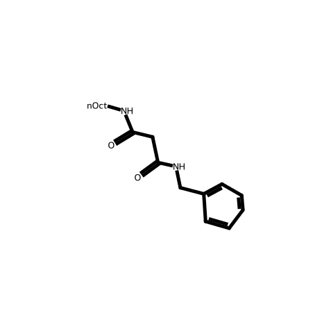 CCCCCCCCNC(=O)CC(=O)NCc1ccccc1